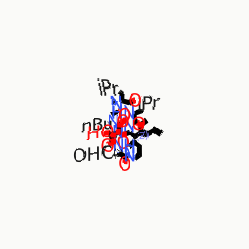 C=C/C=C(\C=C)CC(C(=O)N(C)[C@@H](C)C(=O)N[C@@H](CC=O)C(=O)N1CCCCC1)N(C)C(=O)C(CC(C)C)NC(=O)C(CC(C)C)N(C)C(=O)CN(CCCC)C(=O)C(C)C(C)O